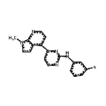 Cn1ccc2c(-c3ccnc(Nc4cccc(Br)c4)n3)ccnc21